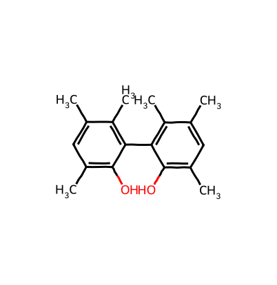 Cc1cc(C)c(O)c(-c2c(C)c(C)cc(C)c2O)c1C